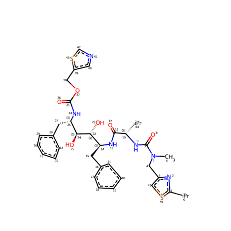 CC(C)c1nc(CN(C)C(=O)N[C@H](C(=O)N[C@@H](Cc2ccccc2)[C@@H](O)[C@@H](O)[C@H](Cc2ccccc2)NC(=O)OCc2cncs2)C(C)C)cs1